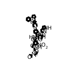 CCc1ccccc1[C@@H]1CCCN1C1CC2(CCN(c3ccc(C(=O)NS(=O)(=O)c4cc5c(c([N+](=O)[O-])c4)N[C@@H]([C@H]4CN(C6COC6)[C@H](C)CO4)CO5)c(N4c5cc6cc[nH]c6nc5O[C@@H]5COCC[C@@H]54)c3)CC2)C1